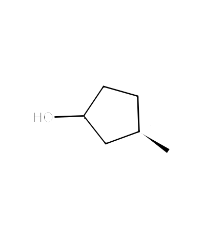 C[C@@H]1CC[C](O)C1